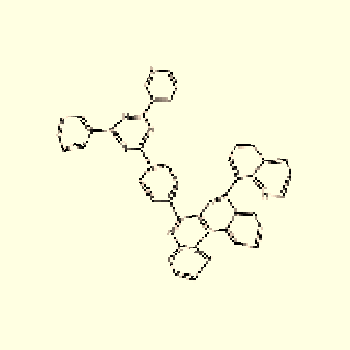 c1ccc(-c2nc(-c3ccccc3)nc(-c3ccc(-c4nc5ccccc5c5c4cc(-c4cccc6cccnc46)c4ccccc45)cc3)n2)cc1